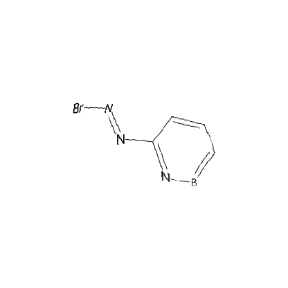 BrN=Nc1cccbn1